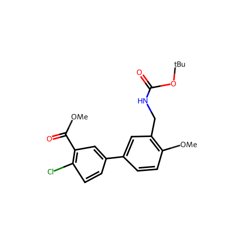 COC(=O)c1cc(-c2ccc(OC)c(CNC(=O)OC(C)(C)C)c2)ccc1Cl